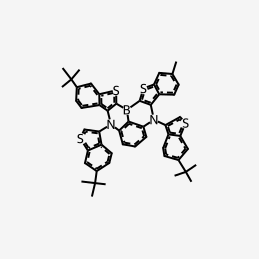 Cc1ccc2c3c(sc2c1)B1c2sc4cc(C(C)(C)C)ccc4c2N(c2csc4cc(C(C)(C)C)ccc24)c2cccc(c21)N3c1csc2cc(C(C)(C)C)ccc12